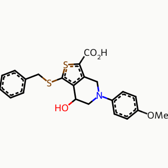 COc1ccc(N2Cc3c(C(=O)O)sc(SCc4ccccc4)c3C(O)C2)cc1